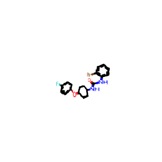 O=C(Nc1ccccc1Br)NC1CCC(Oc2ccc(F)cc2)CC1